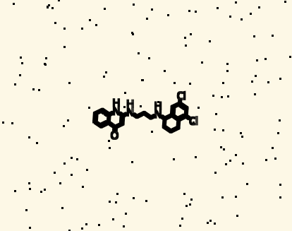 O=c1cc(NCCCNC2CCCc3c(Cl)cc(Cl)cc32)[nH]c2ccccc12